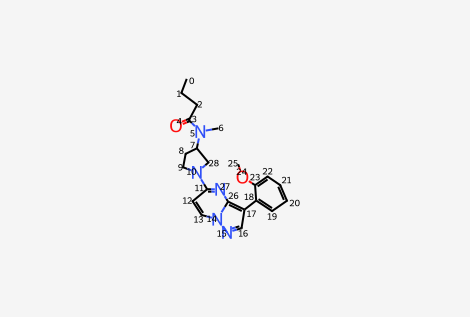 CCCC(=O)N(C)C1CCN(c2ccn3ncc(-c4ccccc4OC)c3n2)C1